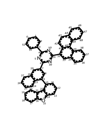 c1ccc(-c2nc(-c3cc(-c4cccc5oc6ccccc6c45)c4ccccc4c3)nc(-c3cc4ccccc4c4c3ccc3ccccc34)n2)cc1